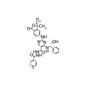 CC1(C)OC(=O)c2ccc(Nc3ncc(C(=O)NNC(=O)C4=CCSC=C4)c(N[C@H](CO)c4ccccc4)n3)cc21